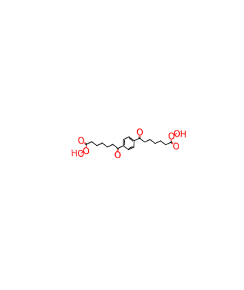 O=C(CCCCCC(=O)c1ccc(C(=O)CCCCCC(=O)OO)cc1)OO